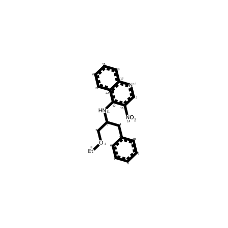 CCOCC(Cc1ccccc1)Nc1c([N+](=O)[O-])cnc2ccccc12